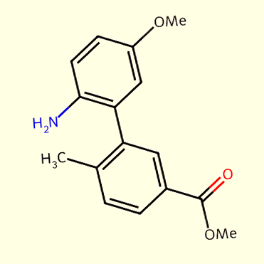 COC(=O)c1ccc(C)c(-c2cc(OC)ccc2N)c1